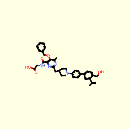 C=C(C)c1cc(-c2ccc(N3CCC(Cc4nc(C)c(OCc5ccccc5)c(C(=O)NCC(=O)O)n4)CC3)cc2)ccc1CO